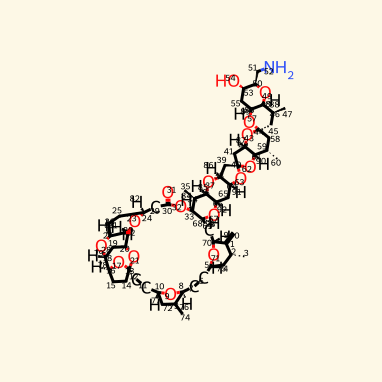 C=C1[C@H](C)C[C@@H]2CC[C@@H]3O[C@@H](CC[C@]45CC[C@H](O4)[C@H]4C[C@@H](O5)[C@H]5O[C@H](CC[C@@H]5O4)CC(=O)O[C@@H]4[C@@H](C)[C@@H]5O[C@@H]6C[C@]7(C[C@@H]8O[C@]9(C[C@H](C)[C@@H]%10O[C@H](CN)[C@H](O)C[C@@H]%10O9)C[C@H](C)[C@@H]8O7)O[C@@H]6C[C@@H]5O[C@H]4C[C@H]1O2)CC3C